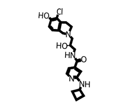 O=C(NC[C@H](O)CN1CCc2c(ccc(O)c2Cl)C1)c1ccnc(NC2CCC2)c1